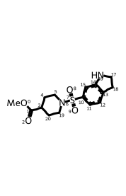 COC(=O)C1CCN(S(=O)(=O)c2ccc3c(c2)NCC3)CC1